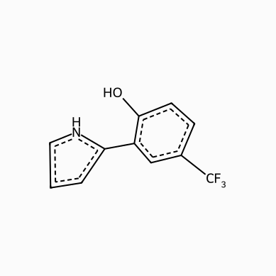 Oc1ccc(C(F)(F)F)cc1-c1ccc[nH]1